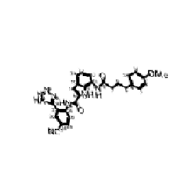 COc1ccc(CCCC(=O)Nc2cccc3cc(C(=O)Nc4ccc(C#N)cc4-c4nnn[nH]4)[nH]c23)cc1